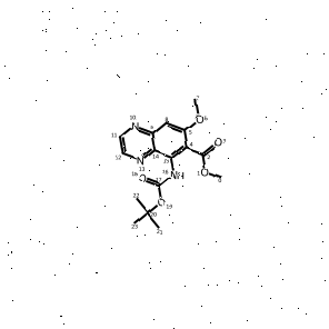 COC(=O)c1c(OC)cc2nccnc2c1NC(=O)OC(C)(C)C